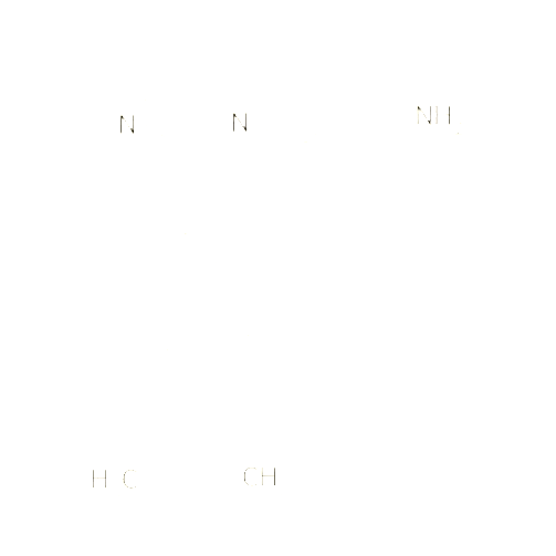 CC(C)c1ccc(-c2nccn2CCN)cc1